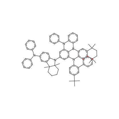 CC(C)(C)c1ccc(N2c3cc4c(cc3B3c5ccccc5N(c5ccccc5)c5cc(N6c7ccc(N(c8ccccc8)c8ccccc8)cc7C7(C)CCCCC67C)cc2c53)C(C)(C)CCC4(C)C)c(-c2ccccc2)c1